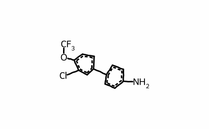 Nc1ccc(-c2ccc(OC(F)(F)F)c(Cl)c2)cc1